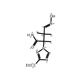 CCOC(=O)c1ncn(C(C)(C(N)=O)C(C)(C)C=NO)n1